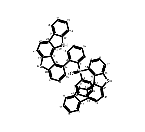 O=P(c1ccccc1)(c1ccccc1-c1cccc2sc3ccc4c5ccccc5[nH]c4c3c12)c1cccc2sc3ccc4c5ccccc5[nH]c4c3c12